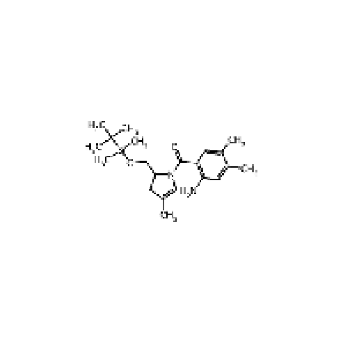 CC1=CN(C(=O)c2cc(C)c(C)cc2N)C(CO[Si](C)(C)C(C)(C)C)C1